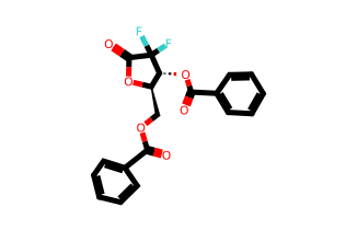 O=C(OC[C@H]1OC(=O)C(F)(F)[C@@H]1OC(=O)c1ccccc1)c1ccccc1